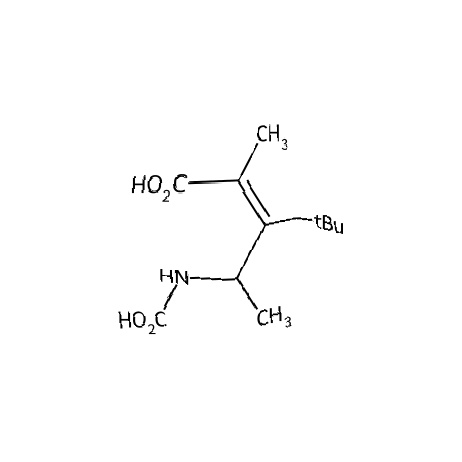 C/C(C(=O)O)=C(/C(C)NC(=O)O)C(C)(C)C